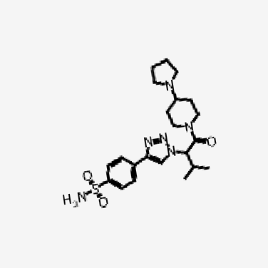 CC(C)C(C(=O)N1CCC(N2CCCC2)CC1)n1cc(-c2ccc(S(N)(=O)=O)cc2)nn1